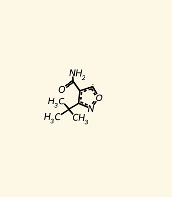 CC(C)(C)c1no[c]c1C(N)=O